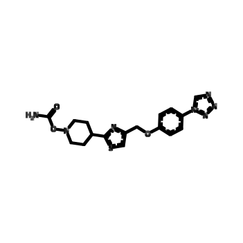 NC(=O)ON1CCC(c2nc(COc3ccc(-n4cnnn4)cc3)cs2)CC1